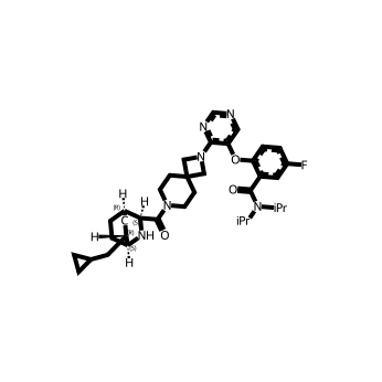 CC(C)N(C(=O)c1cc(F)ccc1Oc1cncnc1N1CC2(CCN(C(=O)[C@H]3N[C@H]4CC[C@@H]3C[C@H]4CC3CC3)CC2)C1)C(C)C